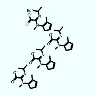 CC1=C(N(C)C(=NC(C)C)C(=O)[O-])CC=C1.CC1=C(N(C)C(=NC(C)C)C(=O)[O-])CC=C1.CC1=C(N(C)C(=NC(C)C)C(=O)[O-])CC=C1.CC1=C(N(C)C(=NC(C)C)C(=O)[O-])CC=C1.[Ru+4]